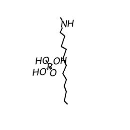 CCCCCCCCCCCCNC.O=P(O)(O)O